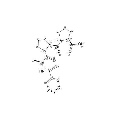 C[C@H](NC(=O)c1ccccc1)C(=O)N1CCC[C@H]1C(=O)N1CCC[C@H]1C(=O)O